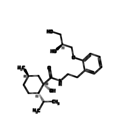 CC(C)[C@@H]1CC[C@@H](C)C[C@@]1(O)C(=O)NCCc1ccccc1OC[C@@H](O)CO